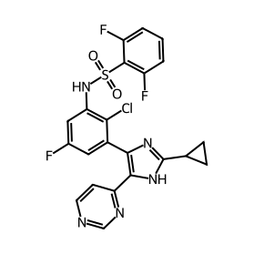 O=S(=O)(Nc1cc(F)cc(-c2nc(C3CC3)[nH]c2-c2ccncn2)c1Cl)c1c(F)cccc1F